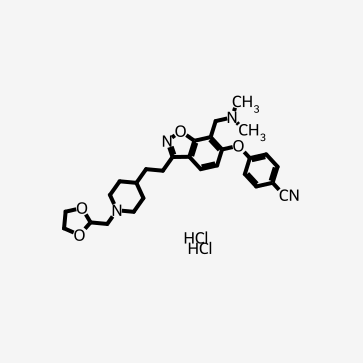 CN(C)Cc1c(Oc2ccc(C#N)cc2)ccc2c(CCC3CCN(CC4OCCO4)CC3)noc12.Cl.Cl